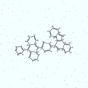 c1ccc(-c2c3ccccc3c(-c3ccc(-c4nc5ccccc5c5nc6ccccn6c45)cc3)c3ccccc23)cc1